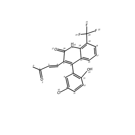 CC(=O)C=Cc1c(-c2cc(Cl)ccc2O)c2cccc(C(F)(F)F)c2[nH]c1=O